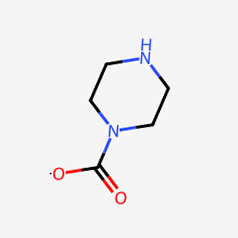 [O]C(=O)N1CCNCC1